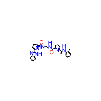 C=C(Nc1ccccc1C)c1cccc(C(=O)NCCNC(=O)c2cccc(-c3nc4ccccc4[nH]3)n2)n1